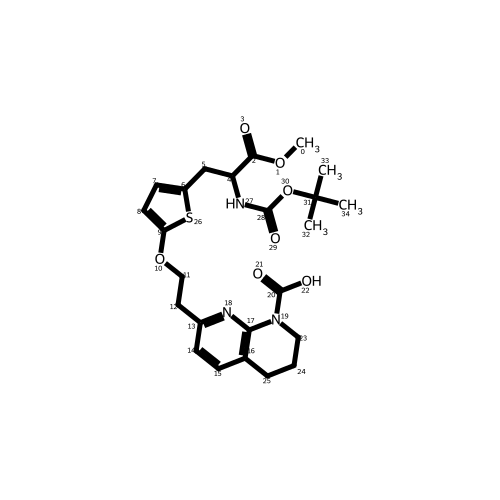 COC(=O)C(Cc1ccc(OCCc2ccc3c(n2)N(C(=O)O)CCC3)s1)NC(=O)OC(C)(C)C